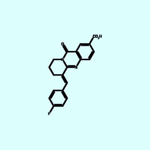 O=C(O)c1ccc2nc3n(c(=O)c2c1)CCCC3=Cc1ccc(F)cc1